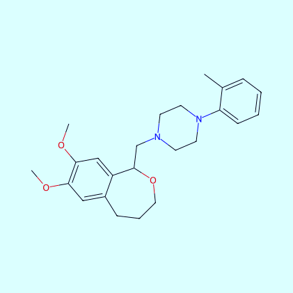 COc1cc2c(cc1OC)C(CN1CCN(c3ccccc3C)CC1)OCCC2